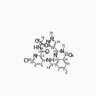 Cc1cc([C@@H](C)Nc2ccc(Cl)nc2C(=O)NS(C)(=O)=O)c2nc(-c3cnn(C)c3)n(C)c(=O)c2c1